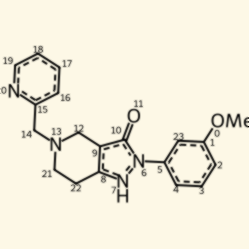 COc1cccc(-n2[nH]c3c(c2=O)CN(Cc2ccccn2)CC3)c1